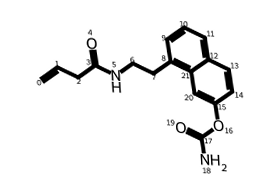 C=CCC(=O)NCCc1cccc2ccc(OC(N)=O)cc12